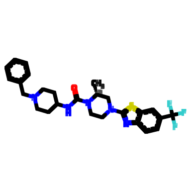 C[C@@H]1CN(c2nc3ccc(C(F)(F)F)cc3s2)CCN1C(=O)NC1CCN(Cc2ccccc2)CC1